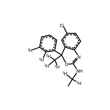 [2H]c1cccc(C2(C([2H])([2H])[2H])OC(NC([2H])([2H])C)=Nc3ccc(Cl)cc32)c1[2H]